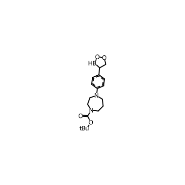 CC(C)(C)OC(=O)N1CCCN(c2ccc(C3BOOC3)cc2)CC1